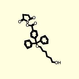 O=C(ON1C(=O)CCC1=O)c1ccc(C(OCCCCCCO)(c2ccccc2)c2ccccc2)cc1